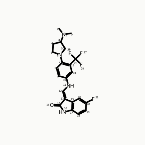 CN(C)C1CCN(c2ccc(N/C=C3/C(=O)Nc4ccc(F)cc43)cc2C(F)(F)F)C1